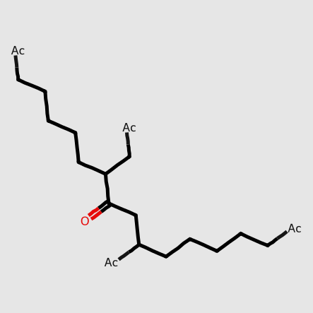 CC(=O)CCCCCC(CC(=O)C(CCCCCC(C)=O)CC(C)=O)C(C)=O